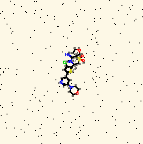 C[C@@]1(c2sc(-c3cncc(N4CCOCC4)c3)cc2Cl)CS(=O)(=O)[C@@]2(CCOC2)C(=N)N1